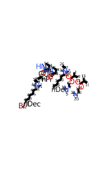 C=C(C)C(=O)OCCN(C)C.C=C(C)C(=O)OCCN(C)C.C=C(CCC)C(=O)[O-].C=C[N+](C)(C)CCCCCCCCCCCCCCCC.C=C[N+](C)(C)CCCCCCCCCCCCCCCC.O=C1CCCN1.O=C1CCCN1.[Br-]